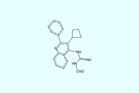 N=C(NC=O)Nc1c(C2CCC2)c(-c2ccccc2)nc2ccccc12